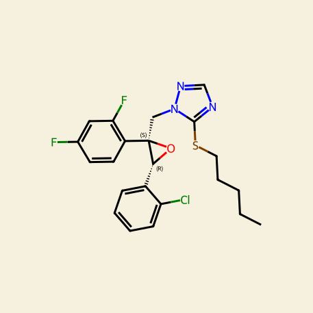 CCCCCSc1ncnn1C[C@]1(c2ccc(F)cc2F)O[C@@H]1c1ccccc1Cl